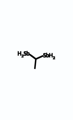 C[CH]([SbH2])[SbH2]